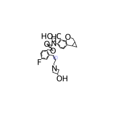 O=C(O)c1c(NS(=O)(=O)c2ccc(F)cc2/C=C\CN2CC(O)C2)ccc2c1OCC1CC21